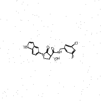 O=C(NCc1cc(F)cc(Cl)c1)[C@@]1(O)CCN(c2ccc3[nH]ccc3c2)C1=O